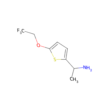 CC(N)c1ccc(OCC(F)(F)F)s1